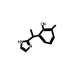 Cc1cccc(C(C)c2ncc[nH]2)c1C#N